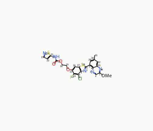 COc1cnc2c(-c3nc4c(Cl)c(F)c(OCCOC(=O)Nc5ccns5)cc4s3)cc(C)cc2n1